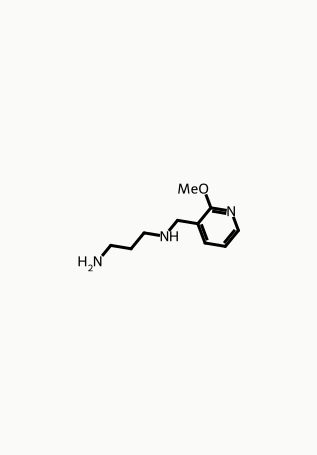 COc1ncccc1CNCCCN